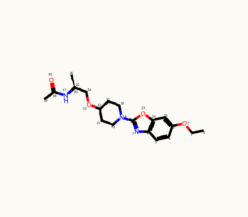 CCOc1ccc2nc(N3CCC(OC[C@H](C)NC(C)=O)CC3)oc2c1